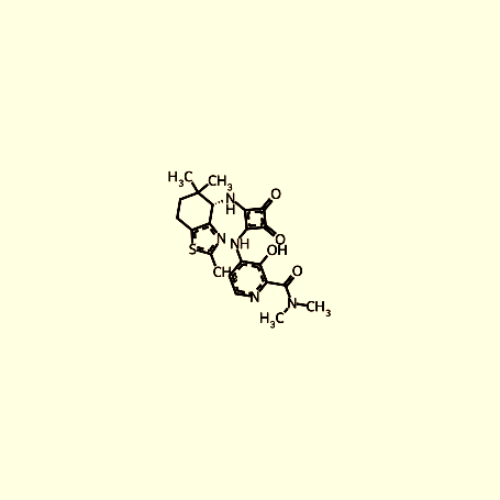 Cc1nc2c(s1)CCC(C)(C)[C@@H]2Nc1c(Nc2ccnc(C(=O)N(C)C)c2O)c(=O)c1=O